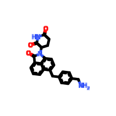 NCc1ccc(Cc2ccc3c4c(cccc24)C(=O)N3C2CCC(=O)NC2=O)cc1